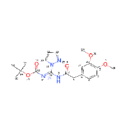 COc1ccc(CC(=O)N/C(=N/C(=O)OC(C)(C)C)n2cccn2)cc1OC